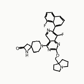 O=C1CC2(CCN(c3nc(OCC45CCCN4CCC5)nc4c(F)c(-c5cccc6cccc(F)c56)ncc34)CC2)N1